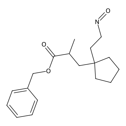 CC(CC1(CCN=O)CCCC1)C(=O)OCc1ccccc1